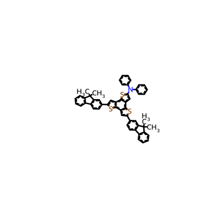 CC1(C)c2ccccc2-c2ccc(-c3cc4c(s3)c3cc(-c5ccc6c(c5)C(C)(C)c5ccccc5-6)sc3c3cc(N(c5ccccc5)c5ccccc5)sc43)cc21